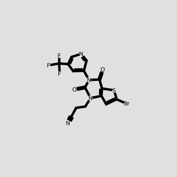 N#CCCn1c(=O)n(-c2cncc(C(F)(F)F)c2)c(=O)c2sc(Br)cc21